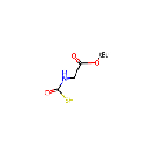 CC(C)(C)OC(=O)CNC(=O)S